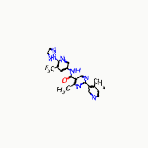 Cc1ccncc1-c1ncc(C(=O)Nc2cnc(-n3nccn3)c(C(F)(F)F)c2)c(C)n1